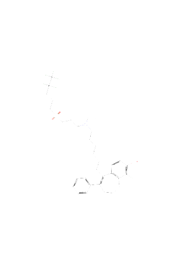 CN(CCCCCCC1=C(c2ccccc2)CCCc2c1ccc(O)c2Cl)CCCS(=O)(=O)CCCC(F)(F)C(F)(F)F